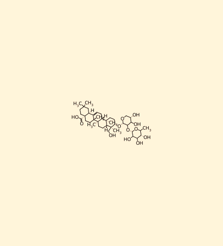 CC1O[C@@H](OC2C(O)[C@@H](O)CO[C@H]2O[C@H]2CC[C@@]3(C)[C@@H](CC[C@]4(C)[C@@H]3CC=C3[C@@H]5CC(C)(C)CC[C@]5(C(=O)O)CC[C@]34C)[C@]2(C)CO)C(O)C(O)[C@H]1O